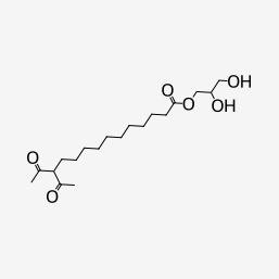 CC(=O)C(CCCCCCCCCCC(=O)OCC(O)CO)C(C)=O